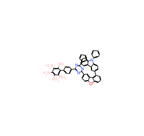 Bc1c(B)c(B)c(-c2ccc(-c3nc(-c4ccccc4)nc(-c4ccc5oc6cccc(-c7ccc8c(c7)c7ccccc7n8-c7ccccc7)c6c5c4)n3)cc2)c(B)c1B